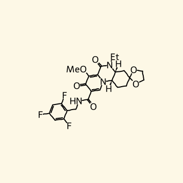 CCN1C(=O)c2c(OC)c(=O)c(C(=O)NCc3c(F)cc(F)cc3F)cn2[C@H]2CCC3(C[C@H]21)OCCO3